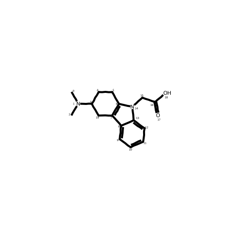 CN(C)C1CCc2c(c3ccccc3n2CC(=O)O)C1